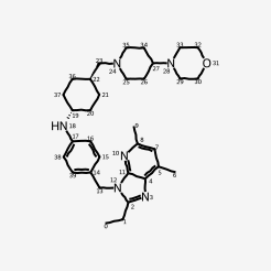 CCc1nc2c(C)cc(C)nc2n1Cc1ccc(N[C@H]2CC[C@H](CN3CCC(N4CCOCC4)CC3)CC2)cc1